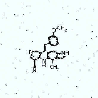 COc1cccc(/C=C/c2cncc(C#N)c2Nc2ccc3[nH]ccc3c2C)c1